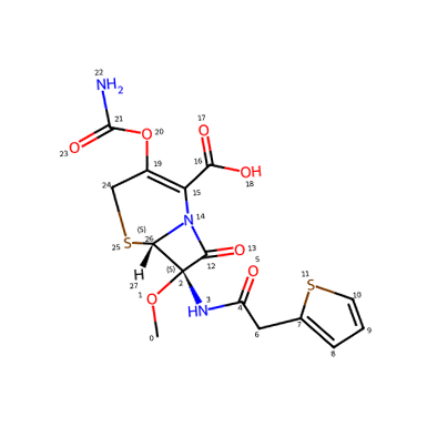 CO[C@@]1(NC(=O)Cc2cccs2)C(=O)N2C(C(=O)O)=C(OC(N)=O)CS[C@H]21